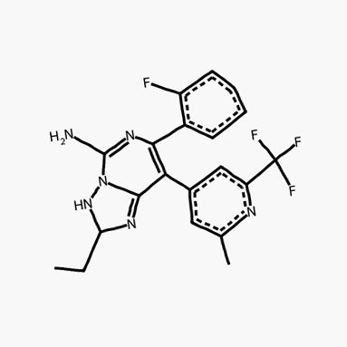 CCC1N=C2C(c3cc(C)nc(C(F)(F)F)c3)=C(c3ccccc3F)N=C(N)N2N1